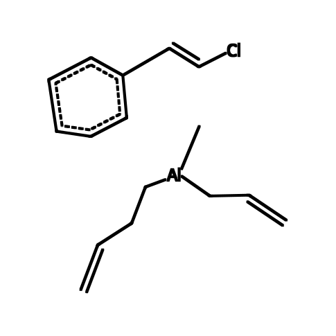 C=CC[CH2][Al]([CH3])[CH2]C=C.ClC=Cc1ccccc1